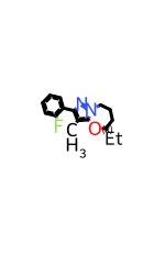 CC[C@@H]1CCCn2nc(-c3ccccc3F)c(C)c2O1